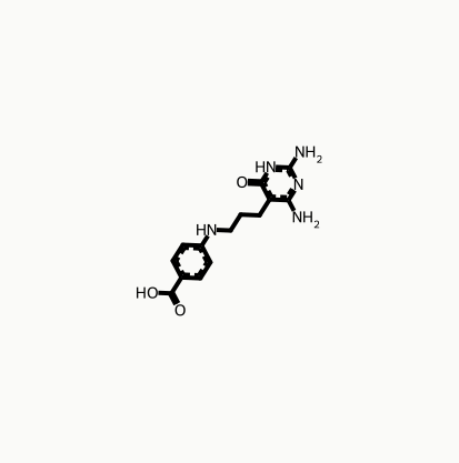 Nc1nc(N)c(CCCNc2ccc(C(=O)O)cc2)c(=O)[nH]1